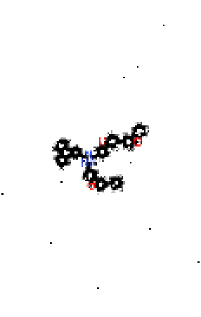 c1ccc(-c2ccc3oc4ccc(-c5nc(-c6ccc7c(c6)oc6ccc(-c8ccc9oc%10ccccc%10c9c8)cc67)nc(-c6ccc7c8ccccc8c8ccccc8c7c6)n5)cc4c3c2)cc1